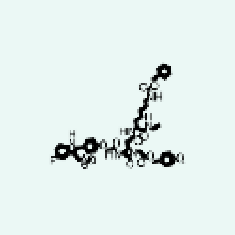 CCNC(=O)C(CCCCCNC(=O)OCc1ccccc1)NC(=O)CC1C(NC(=O)COc2ccc3c(c2)S(=O)(=O)Cc2c-3[nH]c3ccc(F)cc23)C(=O)N1CC(=O)OCc1ccc(OC)cc1